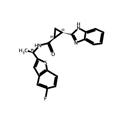 C[C@@H](NC(=O)[C@H]1C[C@@H]1c1nc2ccccc2[nH]1)c1cc2cc(F)ccc2s1